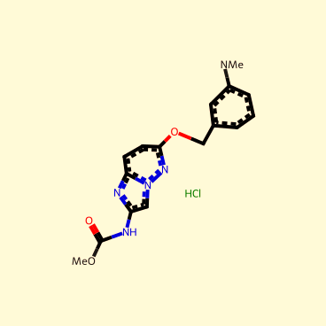 CNc1cccc(COc2ccc3nc(NC(=O)OC)cn3n2)c1.Cl